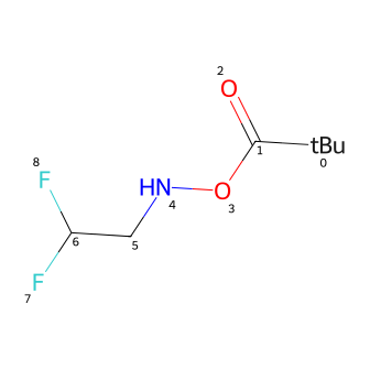 CC(C)(C)C(=O)ONCC(F)F